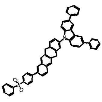 O=S(=O)(c1ccccc1)c1ccc(-c2ccc3cc4c(cc3c2)Cc2ccc(-n3c5ccc(-c6ccccc6)cc5c5cc(-c6ccccc6)ccc53)cc2C4)cc1